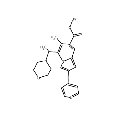 Cc1c(C(=O)OC(C)C)cc2cc(-c3ccncc3)cn2c1C(C)N1CCOCC1